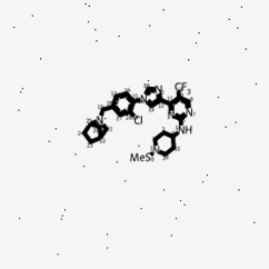 CSN1CCC(Nc2ncc(C(F)(F)F)c(-c3cn(-c4ccc(CN5CC6CCC5C6)cc4Cl)cn3)n2)CC1